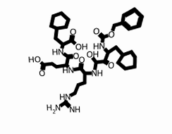 N=C(N)NCCCC(NC(O)C(=O)C(CC1CCCCC1)NC(=O)OCc1ccccc1)C(=O)NC(CCC(=O)O)C(=O)NC(CC1CCCCC1)C(=O)O